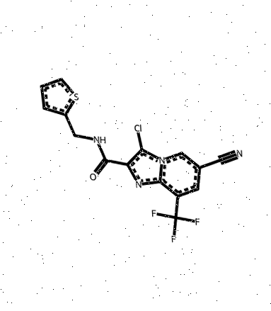 N#Cc1cc(C(F)(F)F)c2nc(C(=O)NCc3cccs3)c(Cl)n2c1